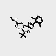 CCOC(=O)C[C@@H](N[S+]([O-])C(C)(C)C)c1csc(-c2c(C)cccc2C)n1